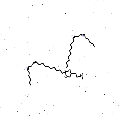 CCCCC/C=C\C/C=C\CCCCCCCCCOC1(CCCCCCCCC/C=C\C/C=C\CCCCC)OCC(CCN(C)C)O1